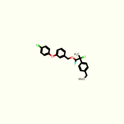 COCc1ccc(C(C)(Cl)C(F)OCc2cccc(Oc3ccc(Cl)cc3)c2)cc1